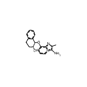 Cc1nc2c(OC3c4ccccc4CCC3O)cccn2c1N